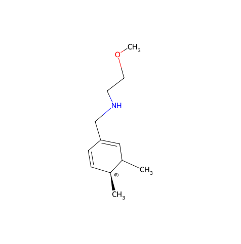 COCCNCC1=CC(C)[C@@H](C)C=C1